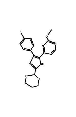 COc1nccc(-c2[nH]c(C3OCCCO3)nc2-c2ccc(F)cc2)n1